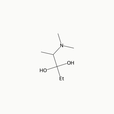 CCC(O)(O)C(C)N(C)C